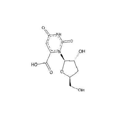 O=C(O)c1cc(=O)[nH]c(=O)n1[C@@H]1O[C@H](CO)C[C@H]1O